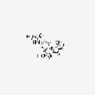 CC(=O)Nc1ccc(-n2c(C)ccc2C)c(C(=O)O)c1